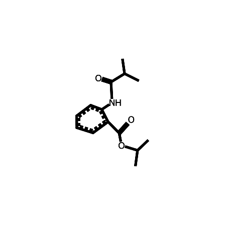 CC(C)OC(=O)c1ccccc1NC(=O)C(C)C